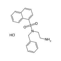 Cl.NCCN(Cc1ccccc1)S(=O)(=O)c1cccc2ccccc12